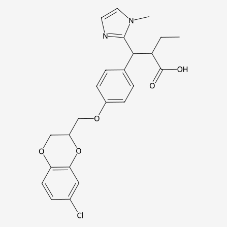 CCC(C(=O)O)C(c1ccc(OCC2COc3ccc(Cl)cc3O2)cc1)c1nccn1C